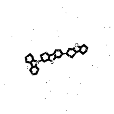 c1ccc2c(c1)oc1cc(-c3ccc4c(c3)sc3cc(-n5c6ccccc6c6ccccc65)ccc34)ccc12